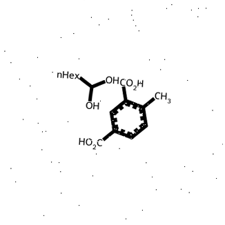 CCCCCCC(O)O.Cc1ccc(C(=O)O)cc1C(=O)O